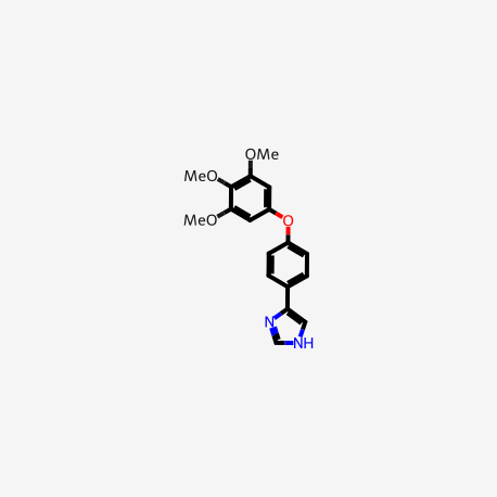 COc1cc(Oc2ccc(-c3c[nH]cn3)cc2)cc(OC)c1OC